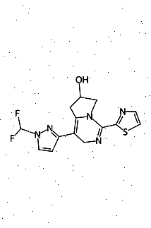 OC1CC2=C(c3ccn(C(F)F)n3)CN=C(c3nccs3)N2C1